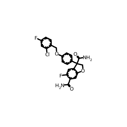 NC(=O)c1cc2c(cc1F)C(C(N)=O)(c1ccc(OCc3ccc(F)cc3Cl)cc1)CO2